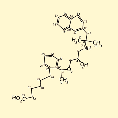 C[C@@H](OC[C@H](O)CNC(C)(C)Cc1ccc2ccccc2c1)c1ccccc1CCCCCC(=O)O